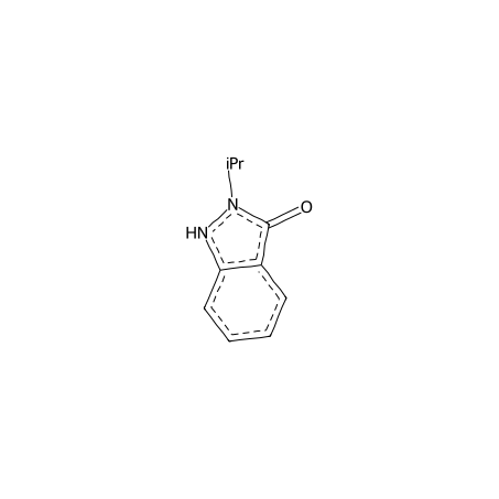 CC(C)n1[nH]c2ccccc2c1=O